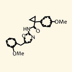 COc1ccc(C2(C(=O)Nc3ncc(Cc4ccccc4OC)o3)CC2)cc1